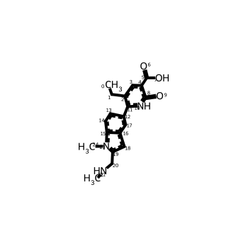 CCc1cc(C(=O)O)c(=O)[nH]c1-c1ccc2c(c1)cc(CNC)n2C